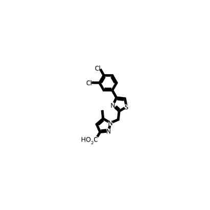 Cc1cc(C(=O)O)nn1Cc1nc(-c2ccc(Cl)c(Cl)c2)cs1